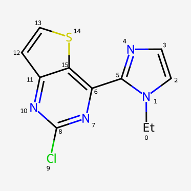 CCn1ccnc1-c1nc(Cl)nc2ccsc12